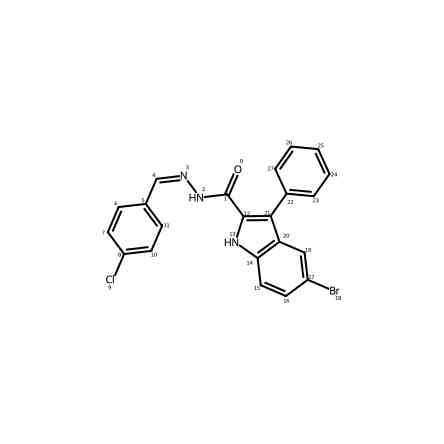 O=C(N/N=C\c1ccc(Cl)cc1)c1[nH]c2ccc(Br)cc2c1-c1ccccc1